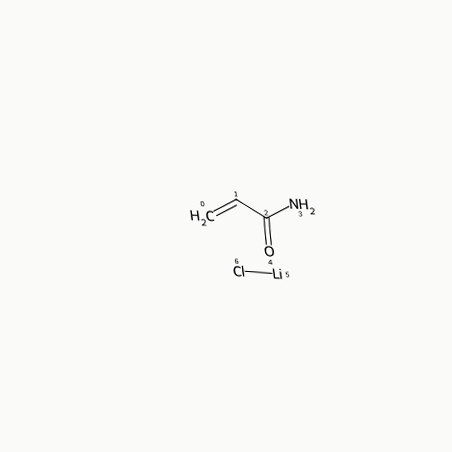 C=CC(N)=O.[Li][Cl]